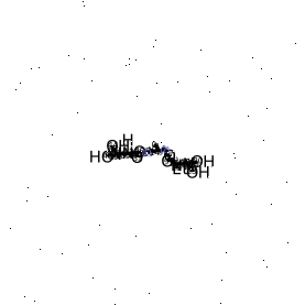 C=CC(C/C=C\COC(=O)CCN(CC)CCCN(CCO)CCO)CC/C=C/COC(=O)CCNCCCN(CCO)CCO